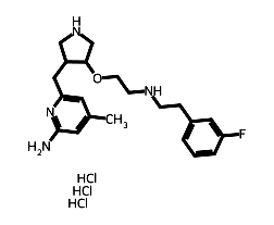 Cc1cc(N)nc(CC2CNCC2OCCNCCc2cccc(F)c2)c1.Cl.Cl.Cl